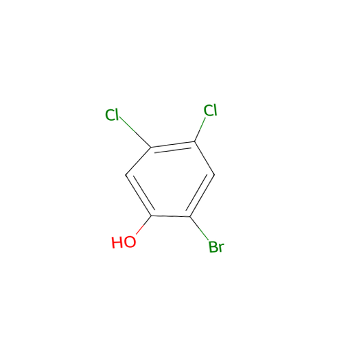 Oc1cc(Cl)c(Cl)cc1Br